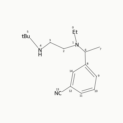 CCN(CCNC(C)(C)C)C(C)c1cccc(C#N)c1